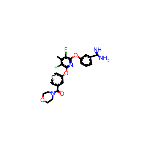 Cc1c(F)c(Oc2cccc(C(=N)N)c2)nc(Oc2cccc(C(=O)N3CCOCC3)c2)c1F